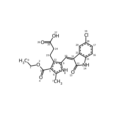 CCOC(=O)c1c(C)[nH]c(C=C2C(=O)Nc3ccc(Cl)cc32)c1CCC(=O)O